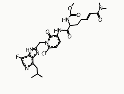 COC(=O)NC(CC/C=C/C(=O)N(C)C)C(=O)Nc1ccc(Cl)n(Cc2nc3c(CC(C)C)ncc(F)c3[nH]2)c1=O